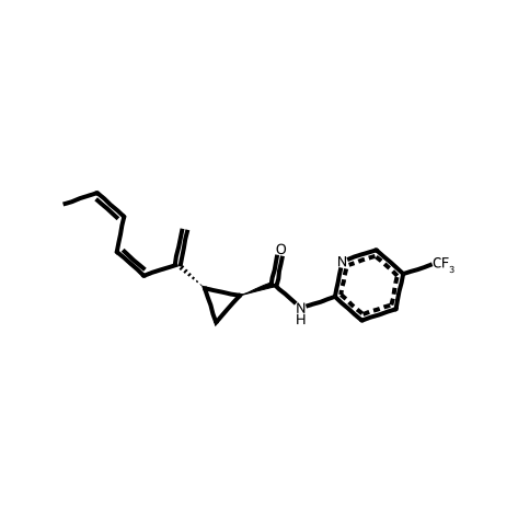 C=C(/C=C\C=C/C)[C@H]1C[C@@H]1C(=O)Nc1ccc(C(F)(F)F)cn1